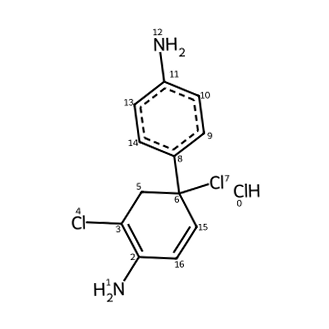 Cl.NC1=C(Cl)CC(Cl)(c2ccc(N)cc2)C=C1